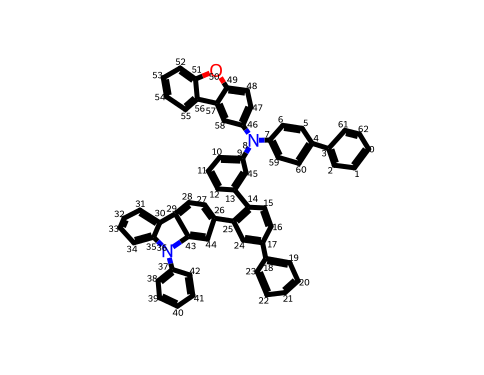 c1ccc(-c2ccc(N(c3cccc(-c4ccc(-c5ccccc5)cc4-c4ccc5c6ccccc6n(-c6ccccc6)c5c4)c3)c3ccc4oc5ccccc5c4c3)cc2)cc1